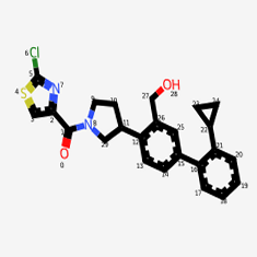 O=C(c1csc(Cl)n1)N1CCC(c2ccc(-c3ccccc3C3CC3)cc2CO)C1